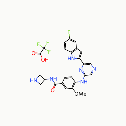 COc1cc(C(=O)NC2CNC2)ccc1Nc1cncc(-c2cc3cc(F)ccc3[nH]2)n1.O=C(O)C(F)(F)F